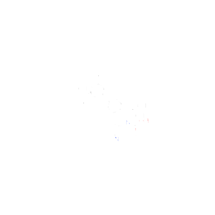 Cc1cc(-c2ccc3c(c2)CC(C)(C)[C@@H]3N(C(=O)O)C2CN3CCC2CC3)cc(C(C)(C)C)c1